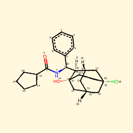 O=C(N[C@@H](c1ccccc1)[C@H]1[C@H]2C[C@@H]3C[C@](Cl)(C2)C[C@@]1(O)C3)C1CCCC1